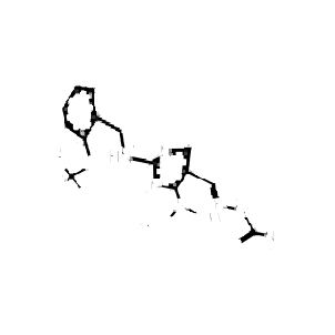 CN(C)c1nc(NCc2ccccc2OC(F)(F)F)ncc1/C=N/NC(N)=S